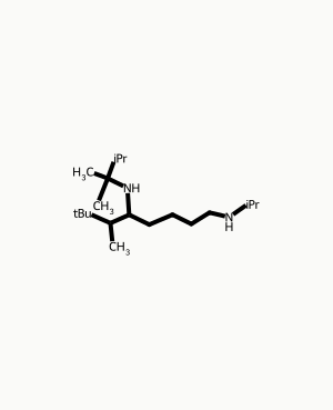 CC(C)NCCCCC(NC(C)(C)C(C)C)C(C)C(C)(C)C